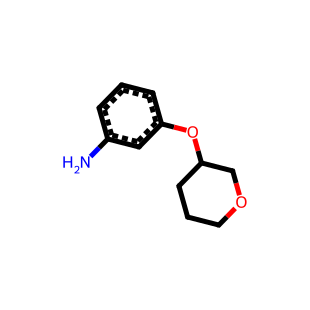 Nc1cccc(OC2CCCOC2)c1